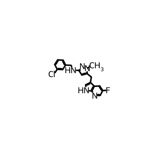 Cn1nc(NCc2cccc(Cl)c2)cc1Cc1c[nH]c2ncc(F)cc12